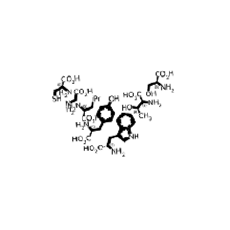 CC(C)C[C@H](N)C(=O)O.C[C@@H](O)[C@H](N)C(=O)O.NCC(=O)O.N[C@@H](CO)C(=O)O.N[C@@H](CS)C(=O)O.N[C@@H](Cc1c[nH]c2ccccc12)C(=O)O.N[C@@H](Cc1ccc(O)cc1)C(=O)O